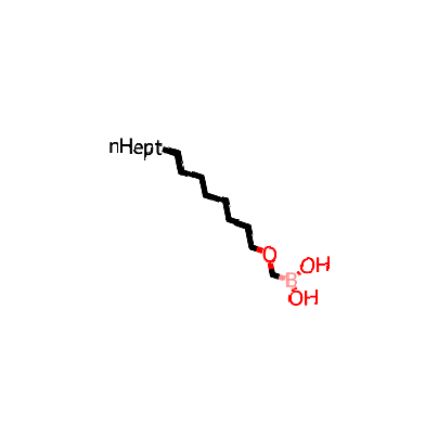 CCCCCCCCCCCCCCCOCB(O)O